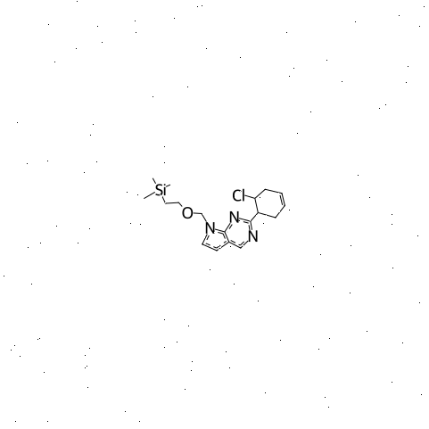 C[Si](C)(C)CCOCn1ccc2cnc(C3CC=CCC3Cl)nc21